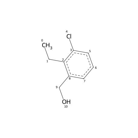 CCc1c(Cl)cccc1CO